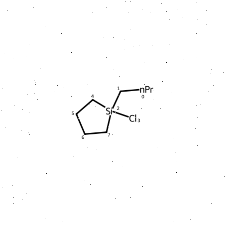 CCCC[Si]1(Cl)CCCC1